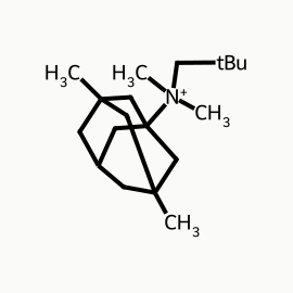 CC(C)(C)C[N+](C)(C)C12CC3CC(C)(CC(C)(C3)C1)C2